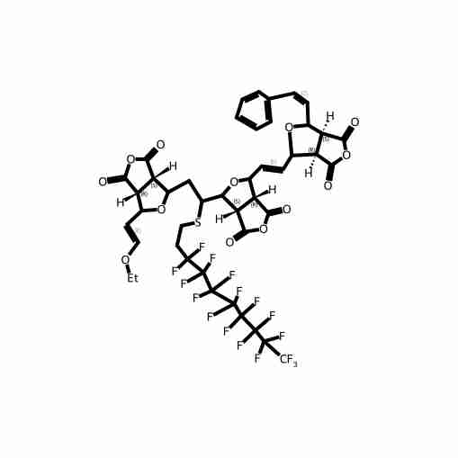 CCO/C=C/C1OC(CC(SCCC(F)(F)C(F)(F)C(F)(F)C(F)(F)C(F)(F)C(F)(F)C(F)(F)C(F)(F)F)C2OC(/C=C/C3OC(/C=C\c4ccccc4)[C@H]4C(=O)OC(=O)[C@@H]34)[C@@H]3C(=O)OC(=O)[C@H]23)[C@H]2C(=O)OC(=O)[C@@H]12